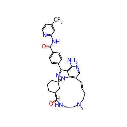 CN1CC/C=C/c2cnc(N)c3c(-c4ccc(C(=O)Nc5cc(C(F)(F)F)ccn5)cc4)nn(c23)[C@@H]2CCC[C@H](C2)C(=O)NCC1